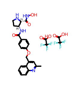 Cc1cc(COc2ccc(C(=O)N[C@@H]3CCN[C@@H]3C(=O)NO)cc2)c2ccccc2n1.O=C(O)C(F)(F)F.O=C(O)C(F)(F)F